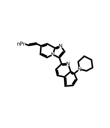 CCC/C=C/c1ccn2c(-c3ccc4cccc(N5CCCCC5)c4n3)cnc2c1